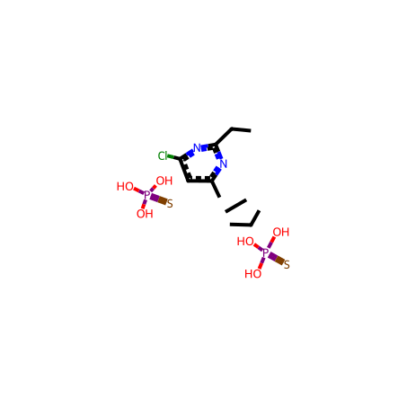 CC.CCC.CCc1nc(C)cc(Cl)n1.OP(O)(O)=S.OP(O)(O)=S